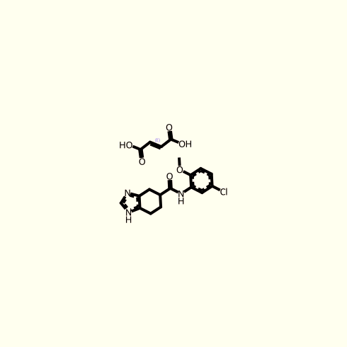 COc1ccc(Cl)cc1NC(=O)C1CCc2[nH]cnc2C1.O=C(O)/C=C/C(=O)O